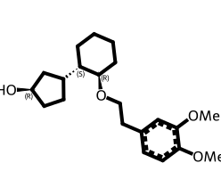 COc1ccc(CCO[C@@H]2CCCC[C@H]2C2CC[C@@H](O)C2)cc1OC